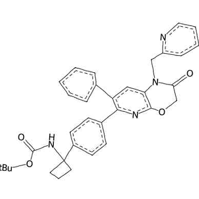 CC(C)(C)OC(=O)NC1(c2ccc(-c3nc4c(cc3-c3ccccc3)N(Cc3ccccn3)C(=O)CO4)cc2)CCC1